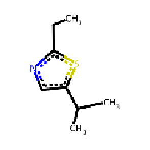 CCc1ncc(C(C)C)s1